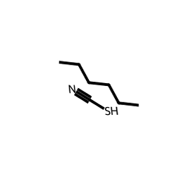 CCCCCC.N#CS